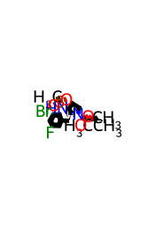 CC(C)(C)OC(=O)N1CC[C@@H](NS(C)(=O)=O)[C@H]1Cc1cc(F)cc(Br)c1